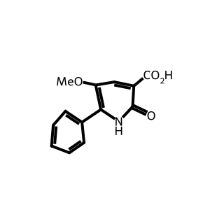 COc1cc(C(=O)O)c(=O)[nH]c1-c1ccccc1